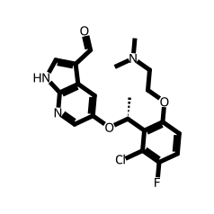 C[C@@H](Oc1cnc2[nH]cc(C=O)c2c1)c1c(OCCN(C)C)ccc(F)c1Cl